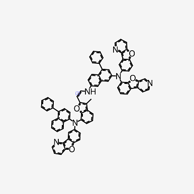 Cc1c(/C=C\Nc2ccc3c(-c4ccccc4)cc(N(c4ccc5oc6cccnc6c5c4)c4cccc5c4oc4cnccc45)cc3c2)oc2c(N(c3ccc4oc5cccnc5c4c3)c3ccc(-c4ccccc4)c4ccccc34)cccc12